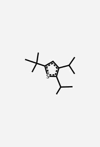 CC(C)c1cc(C(C)(C)C)sc1C(C)C